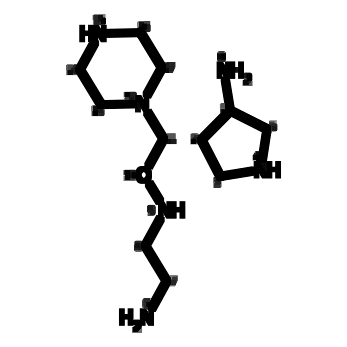 NC1CCNC1.NCCNOCN1CCNCC1